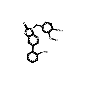 CCOc1cc(Cn2c(=O)[nH]c3cc(-c4ccccc4OC)cnc32)ccc1OC